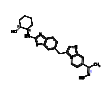 C/C(=N/O)c1ccn2c(Cc3ccc4nc(N[C@@H]5CCCC[C@H]5O)sc4c3)cnc2c1